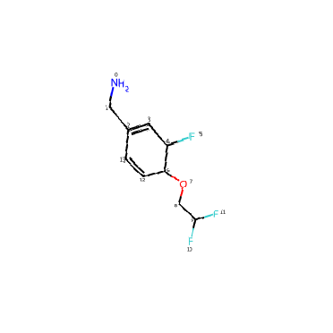 NCC1=CC(F)C(OCC(F)F)C=C1